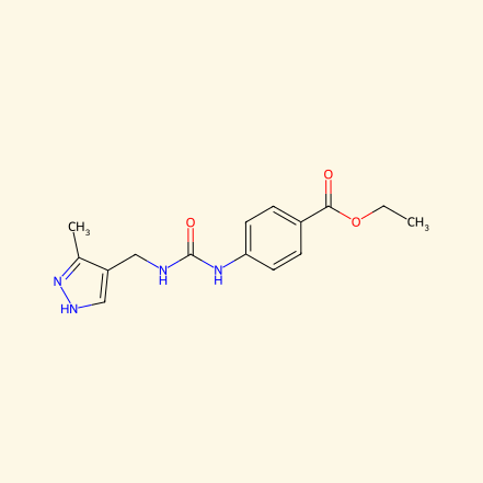 CCOC(=O)c1ccc(NC(=O)NCc2c[nH]nc2C)cc1